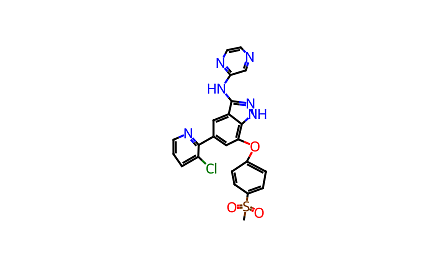 CS(=O)(=O)c1ccc(Oc2cc(-c3ncccc3Cl)cc3c(Nc4cnccn4)n[nH]c23)cc1